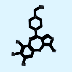 CCc1cc2c(c(CC)c1Br)N=C(N1CCN(CO)CC1)c1csc(Br)c1S2